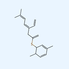 C=C/C(=C\C=C(C)C)CC(=C)SC1C=C(C)C=CC1C